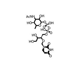 CC(=O)NC1C(O)[C@@H](OP(=O)(O)OP(=O)(O)OC[C@@H](OCn2ccc(=O)[nH]c2=O)C(O)CO)OC(C)[C@H]1O